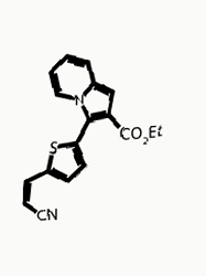 CCOC(=O)c1cc2ccccn2c1-c1ccc(/C=C\C#N)s1